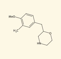 COc1ccc(CC2CNCCO2)cc1C